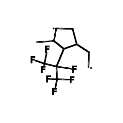 [CH2]CC1C[CH]C(C)C1C(F)(C(F)(F)F)C(F)(F)F